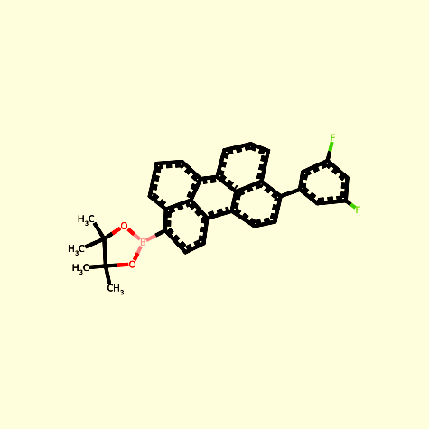 CC1(C)OB(c2ccc3c4ccc(-c5cc(F)cc(F)c5)c5cccc(c6cccc2c63)c54)OC1(C)C